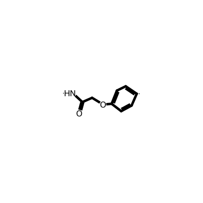 [NH]C(=O)COc1cc[c]cc1